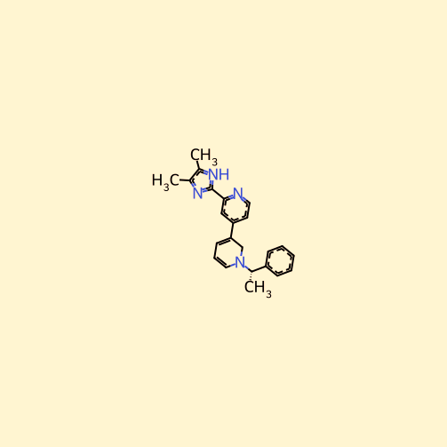 Cc1nc(-c2cc(C3=CC=CN([C@@H](C)c4ccccc4)C3)ccn2)[nH]c1C